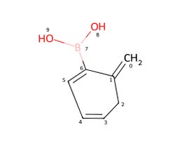 C=C1CC=CC=C1B(O)O